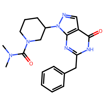 CN(C)C(=O)N1CCCC(n2ncc3c(=O)[nH]c(Cc4ccccc4)nc32)C1